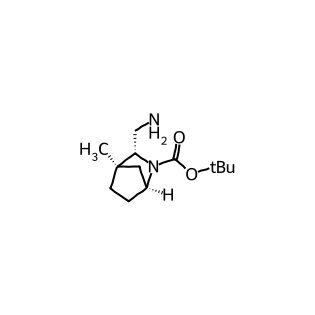 CC(C)(C)OC(=O)N1[C@H]2CC[C@](C)(C2)[C@@H]1CN